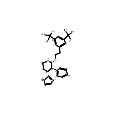 FC(F)(F)c1cc(CCO[C@H]2OCC[C@@H](c3ncc[nH]3)[C@@H]2c2ccccc2)cc(C(F)(F)F)c1